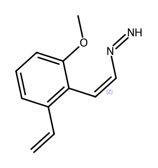 C=Cc1cccc(OC)c1/C=C\N=N